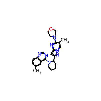 Cc1ccc2ncnc(N3CCCCC3c3cc4nc(N5CCOCC5)c(C)cn4n3)c2c1